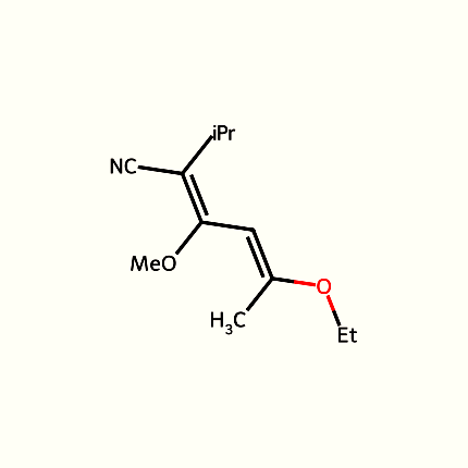 CCO/C(C)=C/C(OC)=C(/C#N)C(C)C